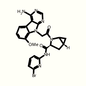 COc1cccc2c3c(N)ncnc3n(CC(=O)N3C4C[C@@H]4C[C@H]3C(=O)Nc3cccc(Br)n3)c12